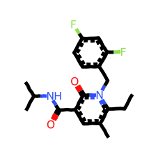 CCc1c(C)cc(C(=O)NC(C)C)c(=O)n1Cc1ccc(F)cc1F